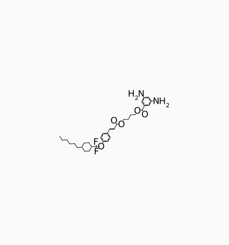 CCCCCCC1CCC(C(F)(F)Oc2ccc(/C=C/C(=O)OCCCCOC(=O)c3cc(N)cc(N)c3)cc2)CC1